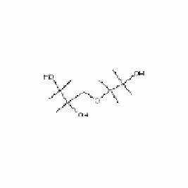 CC(C)(O)C(C)(O)COC(C)(C)C(C)(C)O